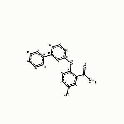 NC(=O)c1cc(Cl)ccc1Oc1cccc(-c2ccccc2)c1